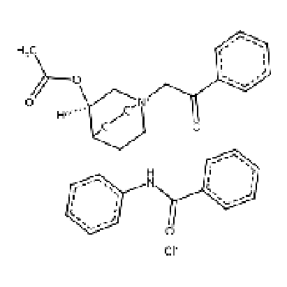 CC(=O)O[C@H]1C[N+]2(CC(=O)c3ccccc3)CCC1CC2.O=C(Nc1ccccc1)c1ccccc1.[Cl-]